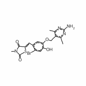 Cc1nc(N)nc(C)c1COc1cc(/C=C2\SC(=O)N(C)C2=O)c(Br)cc1O